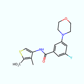 Cc1c(NC(=O)c2cc(F)cc(N3CCOCC3)c2)csc1C(=O)O